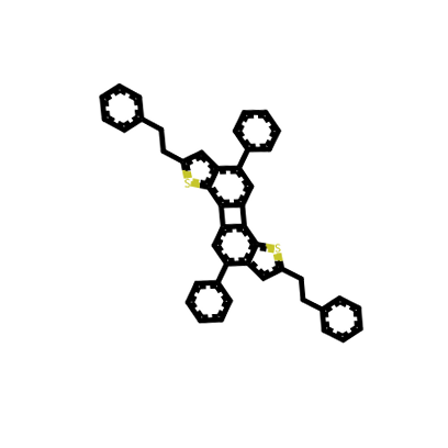 c1ccc(CCc2cc3c(-c4ccccc4)cc4c(c3s2)-c2cc(-c3ccccc3)c3cc(CCc5ccccc5)sc3c2-4)cc1